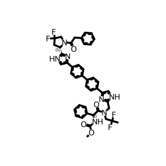 COC(=O)N[C@@H](C(=O)N(Cc1nc(-c2ccc(-c3ccc(-c4c[nH]c([C@@H]5CC(F)(F)CN5C(=O)Cc5ccccc5)n4)cc3)cc2)c[nH]1)CC(C)(F)F)c1ccccc1